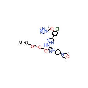 COCCOCCOCCOc1nn(C2CCC(N3C[C@@H](C)O[C@@H](C)C3)CC2)cc1Nc1ncc(-c2ccc(Cl)c(O[C@@H](C)Cn3cnnn3)c2)cn1